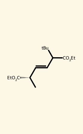 CCOC(=O)C(/C=C/[C@H](C)C(=O)OCC)C(C)(C)C